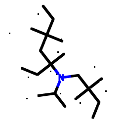 CCC(C)(C)CN(C(C)C)C(C)(CC)CC(C)(C)CC